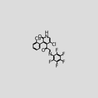 O=C(C=Nc1c(F)c(F)c(F)c(F)c1F)c1c(Cl)c[nH]c(=O)c1-c1cccc[c]1[Cu]